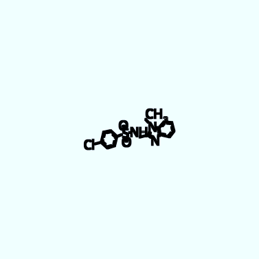 CCn1c(CNS(=O)(=O)c2ccc(Cl)cc2)nc2ccccc21